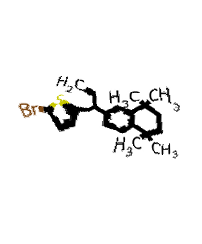 C=CC(c1ccc2c(c1)C(C)(C)CCC2(C)C)c1ccc(Br)s1